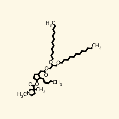 CC/C=C\CC1C(CC(=O)OCC(COCCCCCCCCCCCC)OCCCCCCCCCCCC)CCC1OC(=O)C1(C)CCN(C)C1